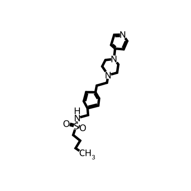 CCCCS(=O)(=O)NCc1ccc(CCN2CCN(c3ccncc3)CC2)cc1